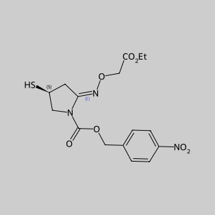 CCOC(=O)CO/N=C1\C[C@H](S)CN1C(=O)OCc1ccc([N+](=O)[O-])cc1